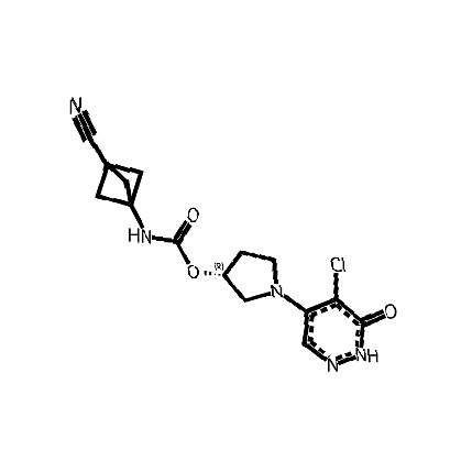 N#CC12CC(NC(=O)O[C@@H]3CCN(c4cn[nH]c(=O)c4Cl)C3)(C1)C2